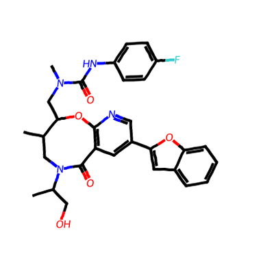 CC1CN(C(C)CO)C(=O)c2cc(-c3cc4ccccc4o3)cnc2OC1CN(C)C(=O)Nc1ccc(F)cc1